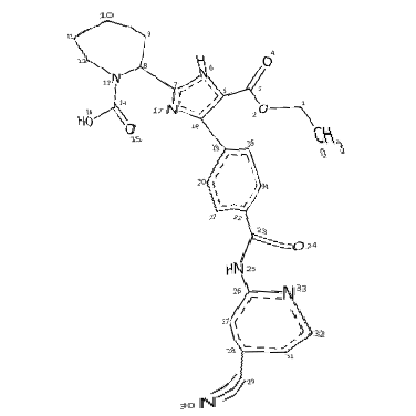 CCOC(=O)c1[nH]c(C2CCCCN2C(=O)O)nc1-c1ccc(C(=O)Nc2cc(C#N)ccn2)cc1